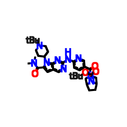 CN(C)C(=O)c1cc2cnc(Nc3ccc(C(=O)N4CC5CCC(C4)N5C(=O)OC(C)(C)C)cn3)nc2n1C1CCN(C(C)(C)C)CC1